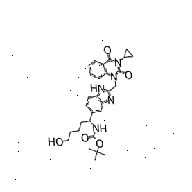 CC(C)(C)OC(=O)NC(CCCCO)c1ccc2[nH]c(Cn3c(=O)n(C4CC4)c(=O)c4ccccc43)nc2c1